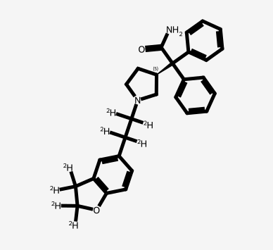 [2H]C1([2H])Oc2ccc(C([2H])([2H])C([2H])([2H])N3CC[C@@H](C(C(N)=O)(c4ccccc4)c4ccccc4)C3)cc2C1([2H])[2H]